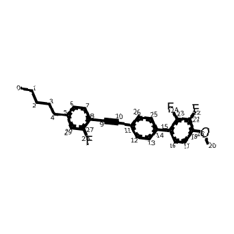 CCCCCc1ccc(C#Cc2ccc(-c3ccc(OC)c(F)c3F)cc2)c(F)c1